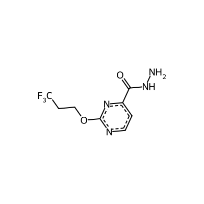 NNC(=O)c1ccnc(OCCC(F)(F)F)n1